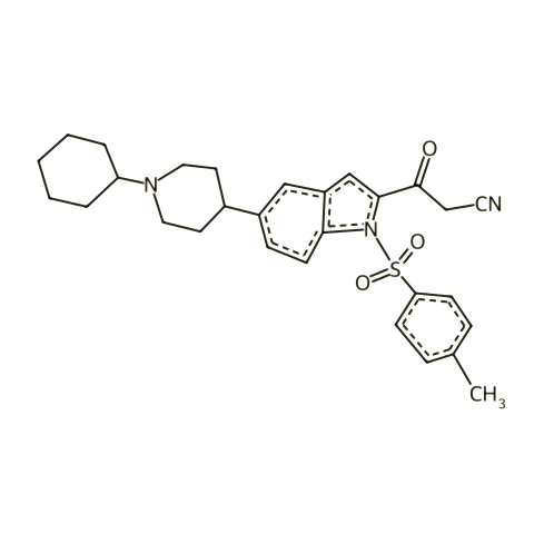 Cc1ccc(S(=O)(=O)n2c(C(=O)CC#N)cc3cc(C4CCN(C5CCCCC5)CC4)ccc32)cc1